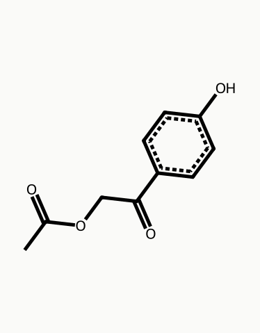 CC(=O)OCC(=O)c1ccc(O)cc1